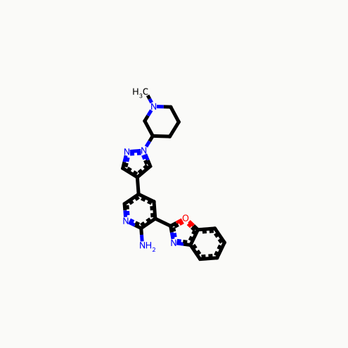 CN1CCCC(n2cc(-c3cnc(N)c(-c4nc5ccccc5o4)c3)cn2)C1